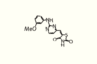 COc1cccc(Nc2nccc(C=C3SC(=O)NC3=O)n2)c1